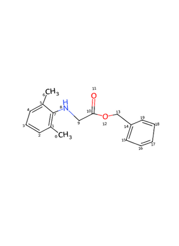 Cc1cccc(C)c1NCC(=O)OCc1ccccc1